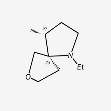 CCN1CC[C@@H](C)[C@@]12CCOC2